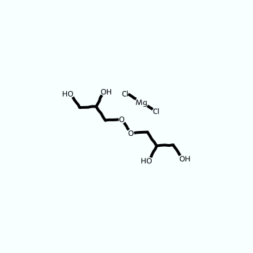 OCC(O)COOCC(O)CO.[Cl][Mg][Cl]